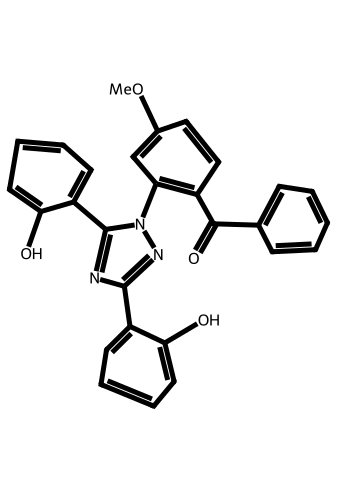 COc1ccc(C(=O)c2ccccc2)c(-n2nc(-c3ccccc3O)nc2-c2ccccc2O)c1